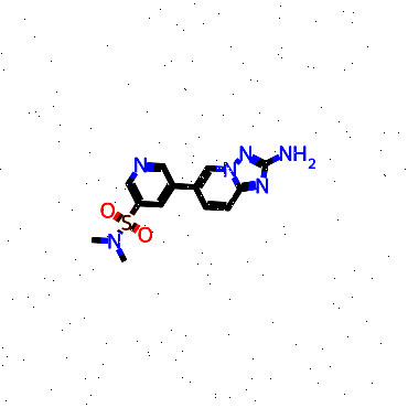 CN(C)S(=O)(=O)c1cncc(-c2ccc3nc(N)nn3c2)c1